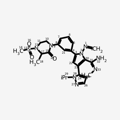 C=Nn1c(-c2cccc(N3CCN(S(C)(=O)=O)C(C)C3=O)c2)cc(-c2ccnn2C(C)C)c1/C(N)=N\C